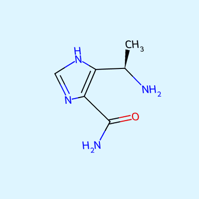 C[C@@H](N)c1[nH]cnc1C(N)=O